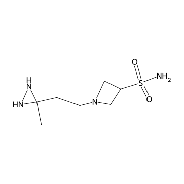 CC1(CCN2CC(S(N)(=O)=O)C2)NN1